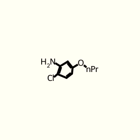 CCCOc1ccc(Cl)c(N)c1